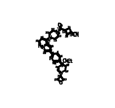 CCOC1(c2ccc(-c3cc4c(N5CCN(C(=O)C6CC(C#N)C6)CC5)ccnn4c3)nc2)CCN(C2COC2)CC1